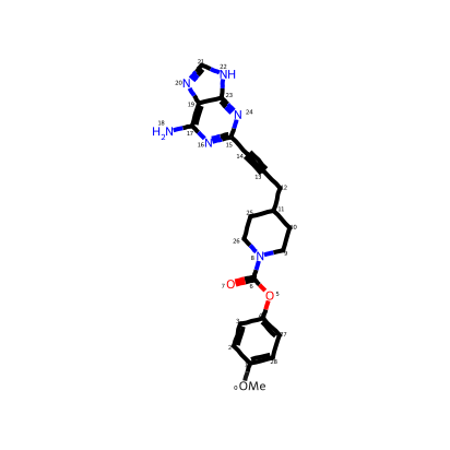 COc1ccc(OC(=O)N2CCC(CC#Cc3nc(N)c4nc[nH]c4n3)CC2)cc1